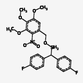 COc1cc(CO[SiH2]C(c2ccc(F)cc2)c2ccc(F)cc2)c([N+](=O)[O-])c(OC)c1OC